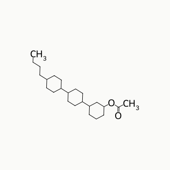 CCCCC1CCC(C2CCC(C3CCCC(OC(C)=O)C3)CC2)CC1